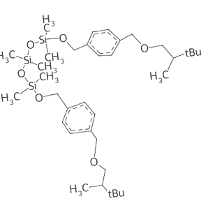 CC(COCc1ccc(CO[Si](C)(C)O[Si](C)(C)O[Si](C)(C)OCc2ccc(COCC(C)C(C)(C)C)cc2)cc1)C(C)(C)C